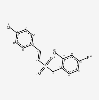 O=S(=O)(C=Cc1ccc(Cl)cc1)Cc1ccc(F)cc1Cl